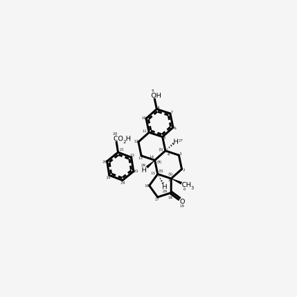 C[C@]12CC[C@@H]3c4ccc(O)cc4CC[C@H]3[C@@H]1CCC2=O.O=C(O)c1ccccc1